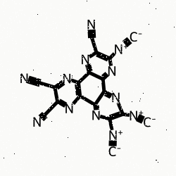 [C-]#[N+]c1nc2c(nc1C#N)c1nc(C#N)c(C#N)nc1c1nc([N+]#[C-])c([N+]#[C-])nc21